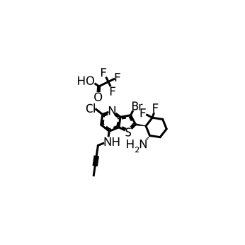 CC#CCNc1cc(Cl)nc2c(Br)c([C@@H]3[C@@H](N)CCCC3(F)F)sc12.O=C(O)C(F)(F)F